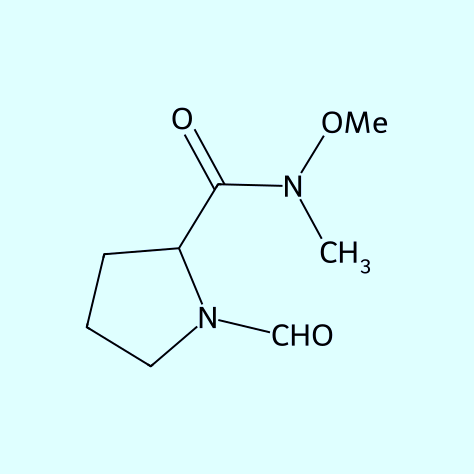 CON(C)C(=O)C1CCCN1C=O